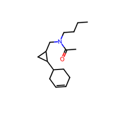 CCCCN(CC1CC1C1CC=CCC1)C(C)=O